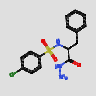 NNC(=O)C(Cc1ccccc1)NS(=O)(=O)c1ccc(Cl)cc1